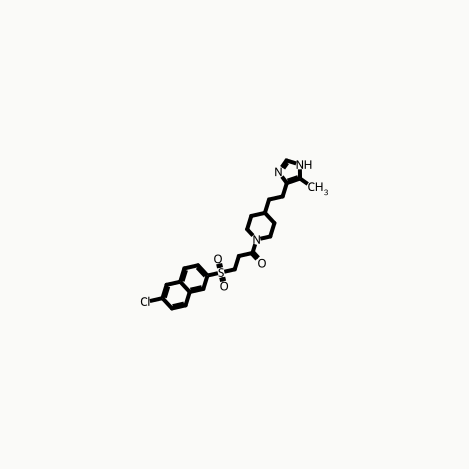 Cc1[nH]cnc1CCC1CCN(C(=O)CCS(=O)(=O)c2ccc3cc(Cl)ccc3c2)CC1